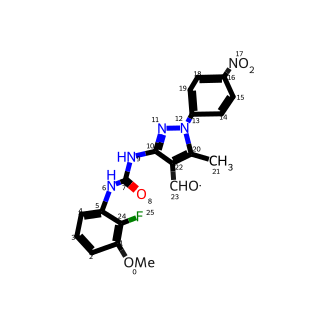 COc1cccc(NC(=O)Nc2nn(-c3ccc([N+](=O)[O-])cc3)c(C)c2[C]=O)c1F